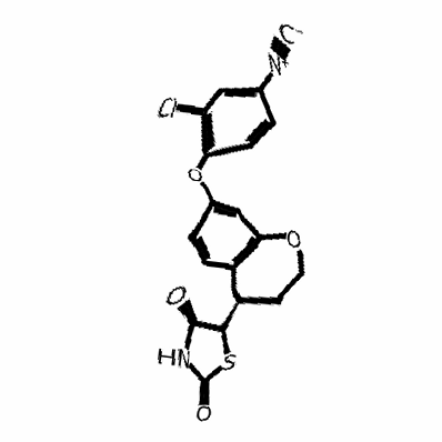 [C-]#[N+]c1ccc(Oc2ccc3c(c2)OCC[C@H]3C2SC(=O)NC2=O)c(Cl)c1